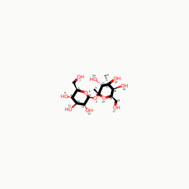 C[C@]1(O[C@@H]2O[C@H](CO)[C@@H](O)[C@H](O)[C@H]2O)O[C@H](CO)[C@H](O)[C@](C)(O)[C@H]1O